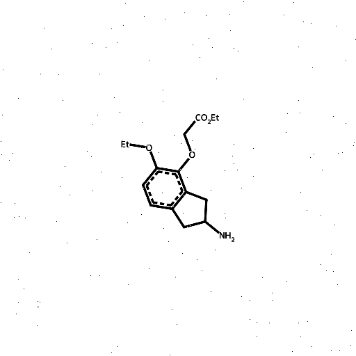 CCOC(=O)COc1c(OCC)ccc2c1CC(N)C2